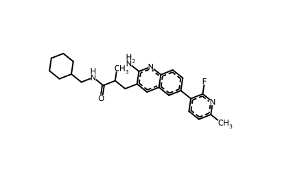 Cc1ccc(-c2ccc3nc(N)c(CC(C)C(=O)NCC4CCCCC4)cc3c2)c(F)n1